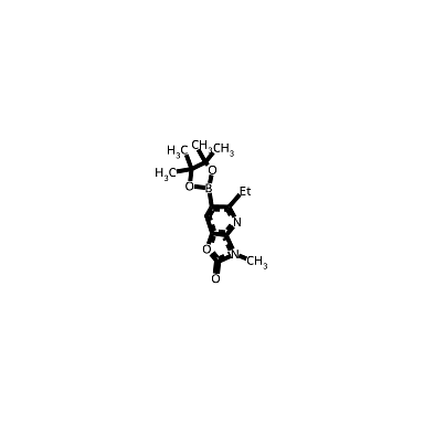 CCc1nc2c(cc1B1OC(C)(C)C(C)(C)O1)oc(=O)n2C